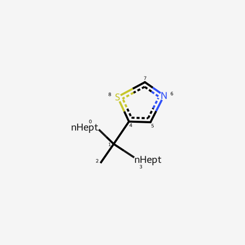 CCCCCCCC(C)(CCCCCCC)c1cncs1